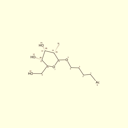 CC(=O)CCCCOC1OC(CO)[C@H](O)[C@H](O)[C@@H]1C